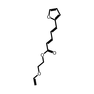 C=COCCOC(=O)C=CC=Cc1ccco1